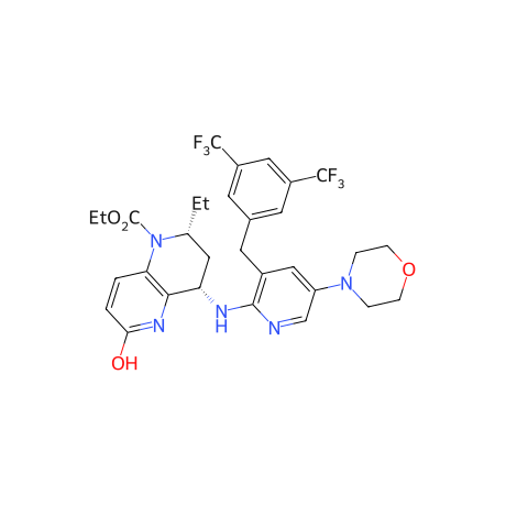 CCOC(=O)N1c2ccc(O)nc2[C@@H](Nc2ncc(N3CCOCC3)cc2Cc2cc(C(F)(F)F)cc(C(F)(F)F)c2)C[C@H]1CC